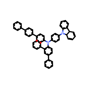 C1=CC2c3ccccc3N(c3ccc(N(c4ccc(-c5ccc(-c6ccccc6)cc5)cc4)c4ccc(-c5ccccc5)cc4-c4ccccc4)cc3)C2C=C1